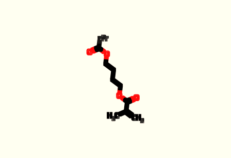 C=C(C)C(=O)OCCCCOC(=O)CCC